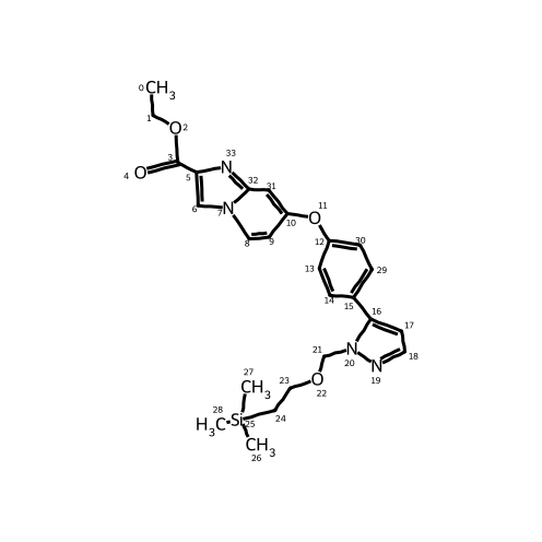 CCOC(=O)c1cn2ccc(Oc3ccc(-c4ccnn4COCC[Si](C)(C)C)cc3)cc2n1